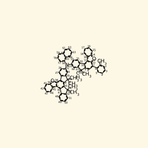 Cc1ccccc1-c1cc2c(c3c1oc1ccccc13)-c1ccc(N(c3ccc4c(c3)C(C)(C)c3c5c(c6c(oc7ccccc76)c3-4)-c3ccccc3C5(C)C)c3cccc4ccccc34)cc1C2(C)C